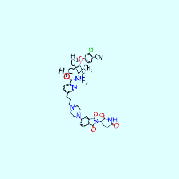 CC1(C)[C@H](NC(=O)c2ccc(CCCN3CCN(c4ccc5c(c4)C(=O)N(C4CCC(=O)NC4=O)C5=O)CC3)cn2)C(C)(C)[C@H]1Oc1ccc(C#N)c(Cl)c1